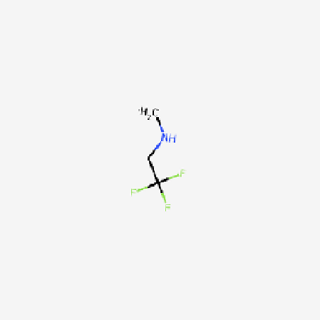 [CH2]NCC(F)(F)F